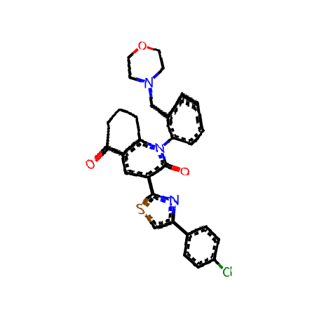 O=C1CCCc2c1cc(-c1nc(-c3ccc(Cl)cc3)cs1)c(=O)n2-c1ccccc1CN1CCOCC1